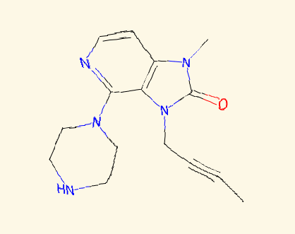 CC#CCn1c(=O)n(C)c2ccnc(N3CCNCC3)c21